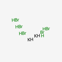 Br.Br.Br.Br.Br.[KH].[KH]